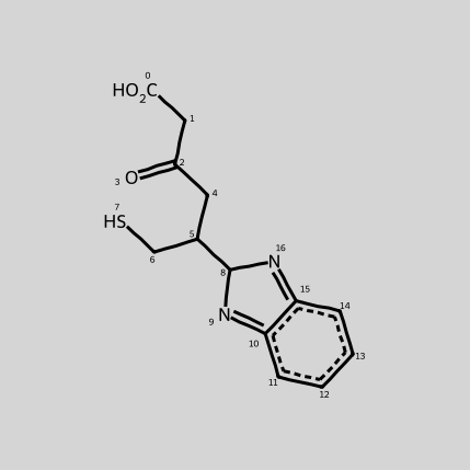 O=C(O)CC(=O)CC(CS)C1N=c2ccccc2=N1